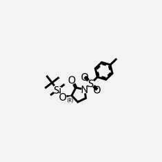 Cc1ccc(S(=O)(=O)N2CC[C@@H](O[Si](C)(C)C(C)(C)C)C2=O)cc1